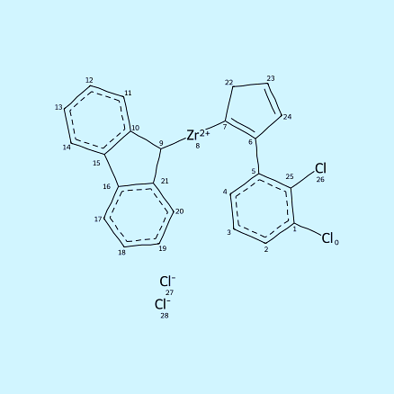 Clc1cccc(C2=[C]([Zr+2][CH]3c4ccccc4-c4ccccc43)CC=C2)c1Cl.[Cl-].[Cl-]